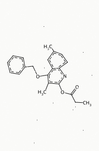 CCC(=O)Oc1nc2ccc(C)cc2c(OCc2ccccc2)c1C